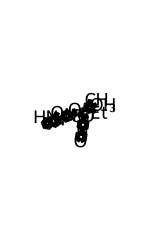 CCc1cc(CC(OC(=O)N2CCC(N3CCc4ccccc4NC3=O)CC2)C(=O)N2CCN(C3CCOCC3)CC2)cc(C)c1O